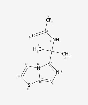 CC(C)(NC(=O)C(F)(F)F)c1ncc2sccn12